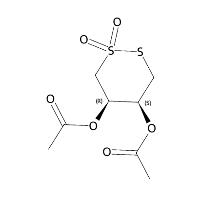 CC(=O)O[C@H]1CS(=O)(=O)SC[C@H]1OC(C)=O